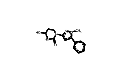 Cn1nc(N2CCC(O)NC2=O)cc1-c1ccccc1